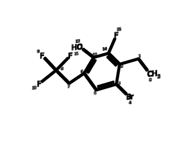 CCc1c(Br)cc(CC(F)(F)F)c(O)c1F